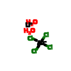 O.O.[Cl][Au-]([Cl])([Cl])[Cl].[Li+]